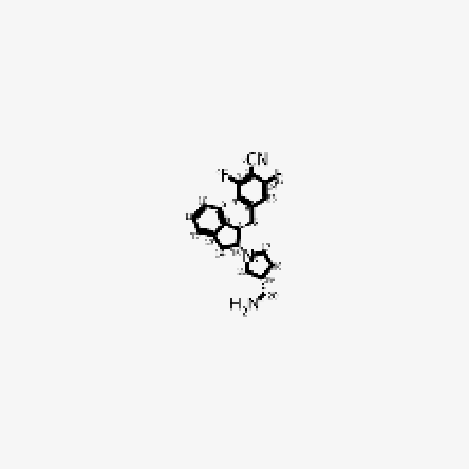 N#Cc1c(F)cc(C[C@@H]2c3ccccc3C[C@H]2N2CC[C@H](CN)C2)cc1F